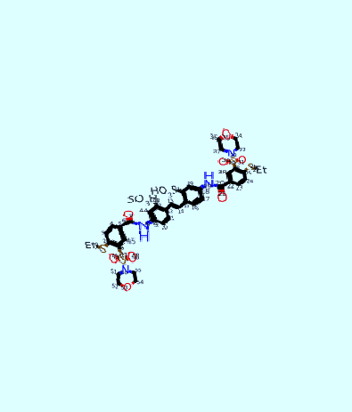 CCSc1ccc(C(=O)Nc2ccc(C=Cc3ccc(NC(=O)c4ccc(SCC)c(S(=O)(=O)N5CCOCC5)c4)cc3S(=O)(=O)O)c(S(=O)(=O)O)c2)cc1S(=O)(=O)N1CCOCC1